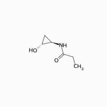 CCC(=O)N[C@@H]1C[C@H]1O